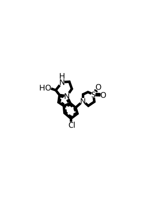 O=S1(=O)CCN(c2cc(Cl)cc3cc4n(c23)CCNC4O)CC1